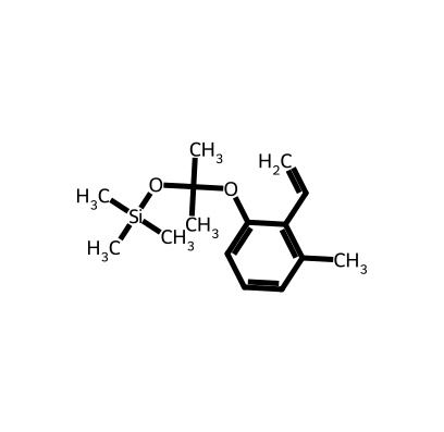 C=Cc1c(C)cccc1OC(C)(C)O[Si](C)(C)C